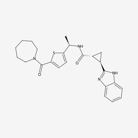 C[C@@H](NC(=O)[C@@H]1C[C@H]1c1nc2ccccc2[nH]1)c1ccc(C(=O)N2CCCCCC2)s1